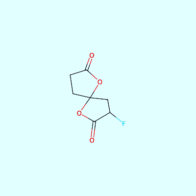 O=C1CCC2(CC(F)C(=O)O2)O1